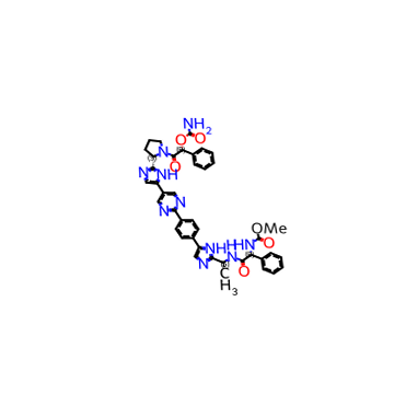 COC(=O)N[C@@H](C(=O)N[C@@H](C)c1ncc(-c2ccc(-c3ncc(-c4cnc([C@@H]5CCCN5C(=O)[C@H](OC(N)=O)c5ccccc5)[nH]4)cn3)cc2)[nH]1)c1ccccc1